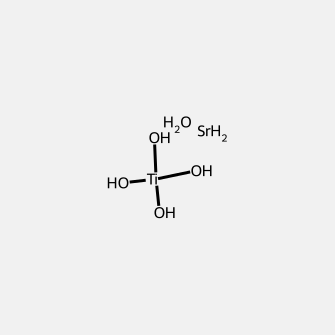 O.[OH][Ti]([OH])([OH])[OH].[SrH2]